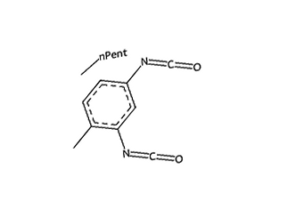 CCCCCC.Cc1ccc(N=C=O)cc1N=C=O